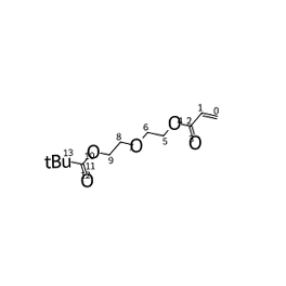 C=CC(=O)OCCOCCOC(=O)C(C)(C)C